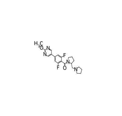 COc1ncc(-c2cc(F)c(C(=O)N3CCCC3CN3CCCC3)c(F)c2)cn1